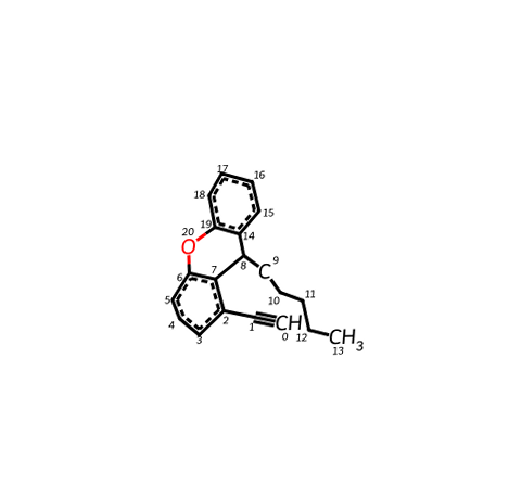 C#Cc1cccc2c1C(CCCCC)c1ccccc1O2